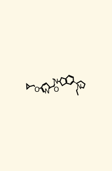 CCN1CCC[C@@H]1c1ccc2c(c1)CC(N(C)C(=O)c1ccc(OCC3CC3)cn1)C2